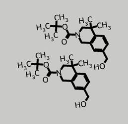 CC(C)(C)OC(=O)N1Cc2cc(CO)ccc2C(C)(C)C1.CC(C)(C)OC(=O)N1Cc2cc(CO)ccc2C(C)(C)C1